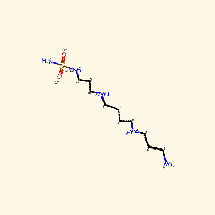 NCCCNCCCCNCCCNS(N)(=O)=O